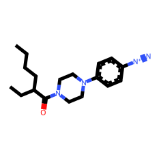 CCCCC(CC)C(=O)N1CCN(c2ccc([N+]#N)cc2)CC1